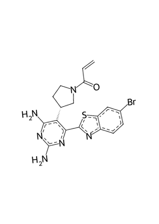 C=CC(=O)N1CC[C@@H](c2c(N)nc(N)nc2-c2nc3ccc(Br)cc3s2)C1